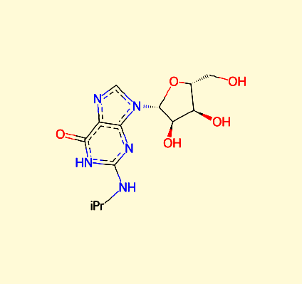 CC(C)Nc1nc2c(ncn2[C@@H]2O[C@H](CO)[C@@H](O)[C@H]2O)c(=O)[nH]1